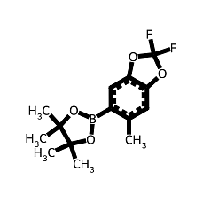 Cc1cc2c(cc1B1OC(C)(C)C(C)(C)O1)OC(F)(F)O2